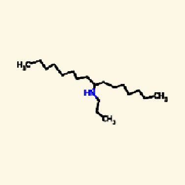 CCCCCCCCC(CCCCCCC)NCCC